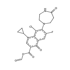 O=COC(=O)c1cn(C2CC2)c2c(Cl)c(N3CCNC(=O)CC3)c(F)cc2c1=O